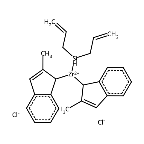 C=CC[SiH](CC=C)[Zr+2]([CH]1C(C)=Cc2ccccc21)[CH]1C(C)=Cc2ccccc21.[Cl-].[Cl-]